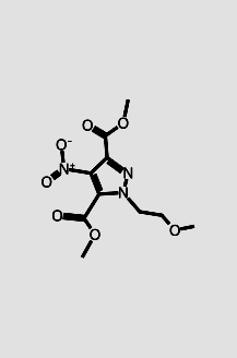 COCCn1nc(C(=O)OC)c([N+](=O)[O-])c1C(=O)OC